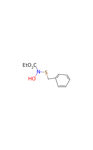 CCOC(=O)N(O)SCc1ccccc1